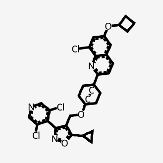 Clc1cncc(Cl)c1-c1noc(C2CC2)c1COC12CCC(c3ccc4cc(OC5CCC5)cc(Cl)c4n3)(CC1)CC2